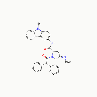 CCn1c2ccccc2c2cc(NC(=O)[C@@H]3CC(=NOC)CN3C(=O)C(c3ccccc3)c3ccccc3)ccc21